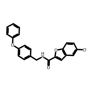 O=C(NCc1ccc(Oc2ccccc2)cc1)c1cc2cc(Cl)ccc2o1